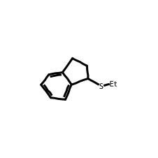 [CH2]CSC1CCc2ccccc21